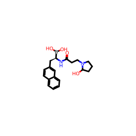 O=C(CCN1CCCC1O)N[C@@H](Cc1ccc2ccccc2c1)B(O)O